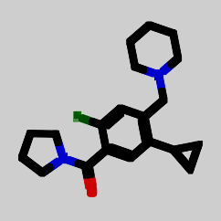 O=C(c1cc(C2CC2)c(CN2CCCCC2)cc1F)N1CCCC1